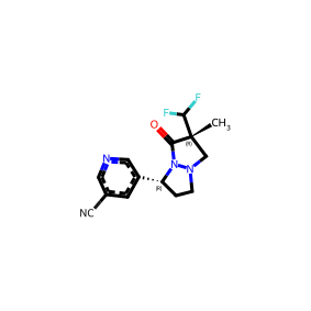 C[C@@]1(C(F)F)CN2CC[C@H](c3cncc(C#N)c3)N2C1=O